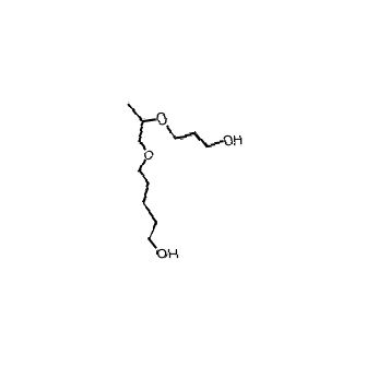 CC(COCCCCCO)OCCCO